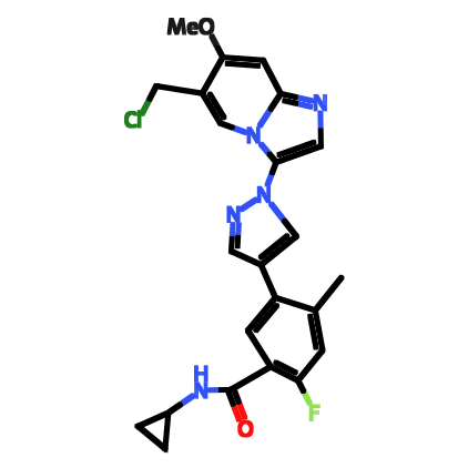 COc1cc2ncc(-n3cc(-c4cc(C(=O)NC5CC5)c(F)cc4C)cn3)n2cc1CCl